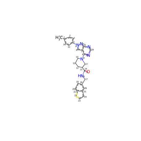 Cc1ccc(-n2cc3c(N4CCCC(C(=O)NCc5ccc6sccc6c5)C4)ncnc3n2)cc1